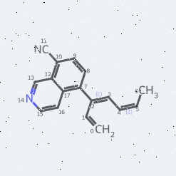 C=C/C(=C\C=C/C)c1ccc(C#N)c2cnccc12